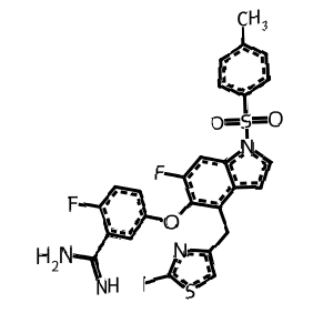 Cc1ccc(S(=O)(=O)n2ccc3c(Cc4csc(I)n4)c(Oc4ccc(F)c(C(=N)N)c4)c(F)cc32)cc1